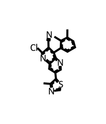 Cc1cccc(-c2c(C#N)c(Cl)nc3cc(-c4scnc4C)cnc23)c1C